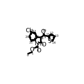 CCOC(=O)N1C(=O)C(C(=O)c2cccs2)c2cc(Cl)ccc21